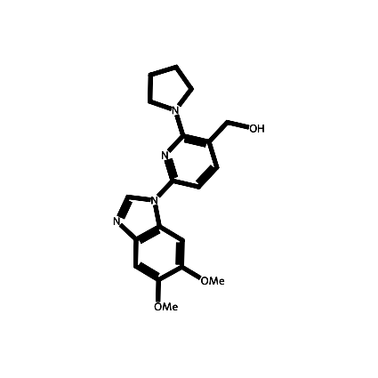 COc1cc2ncn(-c3ccc(CO)c(N4CCCC4)n3)c2cc1OC